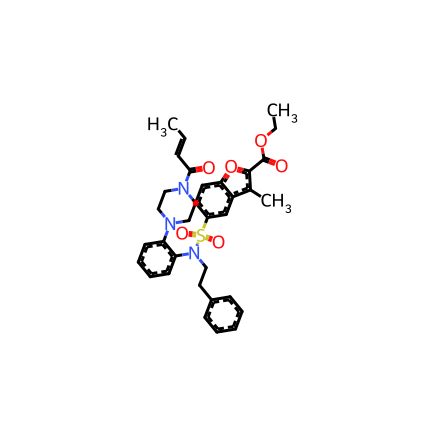 CC=CC(=O)N1CCN(c2ccccc2N(CCc2ccccc2)S(=O)(=O)c2ccc3oc(C(=O)OCC)c(C)c3c2)CC1